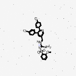 COc1ccccc1S(=O)(=O)/N=C(\N)NCc1cnc(-c2ccc(Cl)cc2)c(-c2ccc(Cl)cc2)c1